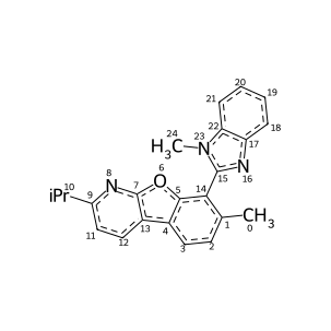 Cc1ccc2c(oc3nc(C(C)C)ccc32)c1-c1nc2ccccc2n1C